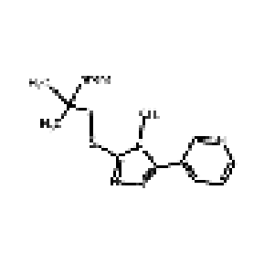 CCCCCC(C)(C)SSc1nnc(-c2cccnc2)n1C